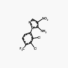 Nc1c([N+](=O)[O-])cnn1-c1ccc(C(F)(F)F)c(Cl)c1Cl